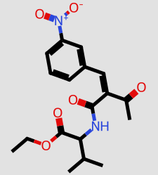 CCOC(=O)C(NC(=O)C(=Cc1cccc([N+](=O)[O-])c1)C(C)=O)C(C)C